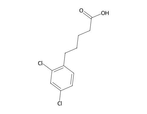 O=C(O)CCCCc1ccc(Cl)cc1Cl